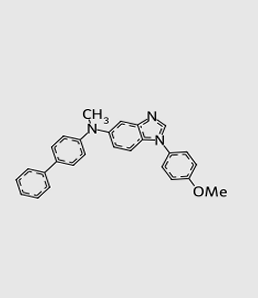 COc1ccc(-n2cnc3cc(N(C)c4ccc(-c5ccccc5)cc4)ccc32)cc1